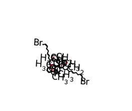 C=CC(C/C=C/CC/C=C\CBr)CC(CC(C(CC(CC(C=C)C/C=C/CC/C=C\CBr)c1ccccc1)[Si](OCC)(OCC)OCC)[Si](OCC)(OCC)OCC)c1ccccc1